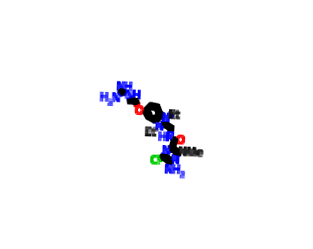 CCn1c(CNC(=O)c2nc(Cl)c(N)nc2NC)[n+](CC)c2ccc(OCCNC(=N)N)cc21